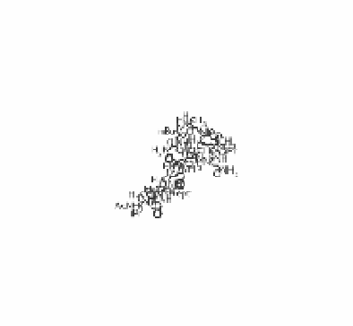 C=CCCC[C@](C)(NC(=O)[C@H](CC(C)C)NC(=O)[C@H](CCC(N)=O)NCN[C@@H](C)C(=O)CC(=O)[C@](C)(Cc1c[nH]c2ccccc12)NN[C@@H](Cc1ccc(O)cc1)C(=O)CC(=O)[C@H](C)NCC(=O)[C@@](C)(CCCCCCC)NN[C@@H](Cc1ccccc1)C(=O)C(=O)[C@@H](NC(=O)[C@H](CC(C)C)NC(C)=O)[C@@H](C)O)C(=O)CC(=O)[C@H](C)NCCC(=O)[C@H](C)NCN[C@@H](CCCC)C(=O)CN[C@@H](C)C(=O)CN